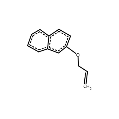 C=CCOc1ccc2ccc[c]c2c1